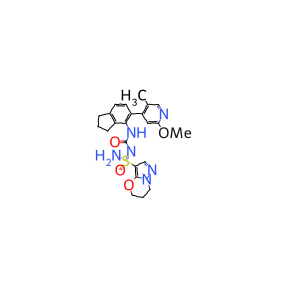 COc1cc(-c2ccc3c(c2NC(=O)N=S(N)(=O)c2cnn4c2OCCC4)CCC3)c(C)cn1